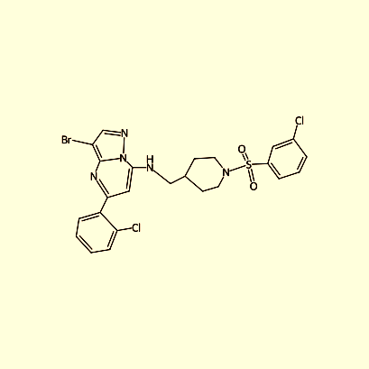 O=S(=O)(c1cccc(Cl)c1)N1CCC(CNc2cc(-c3ccccc3Cl)nc3c(Br)cnn23)CC1